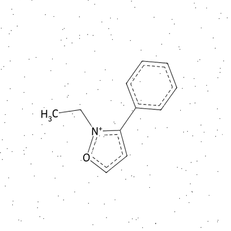 CC[n+]1occc1-c1ccccc1